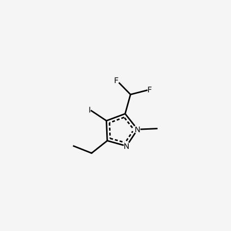 CCc1nn(C)c(C(F)F)c1I